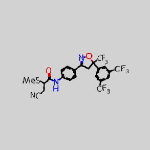 CSC(CC#N)C(=O)Nc1ccc(C2=NOC(c3cc(C(F)(F)F)cc(C(F)(F)F)c3)(C(F)(F)F)C2)cc1